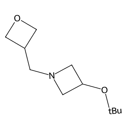 CC(C)(C)OC1CN(CC2COC2)C1